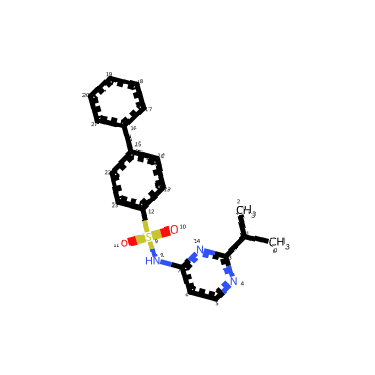 CC(C)c1nccc(NS(=O)(=O)c2ccc(-c3ccccc3)cc2)n1